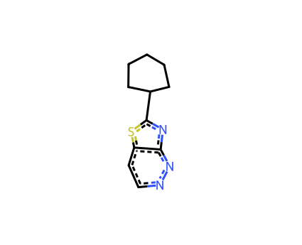 c1cc2sc(C3CCCCC3)nc2nn1